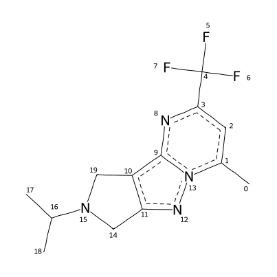 Cc1cc(C(F)(F)F)nc2c3c(nn12)CN(C(C)C)C3